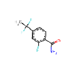 CC(F)(F)c1ccc(C(N)=O)c(F)c1